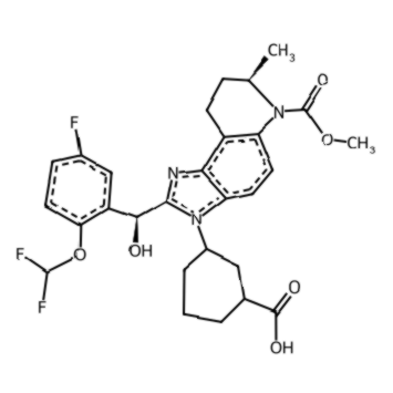 COC(=O)N1c2ccc3c(nc([C@@H](O)c4cc(F)ccc4OC(F)F)n3C3CCCC(C(=O)O)C3)c2CC[C@H]1C